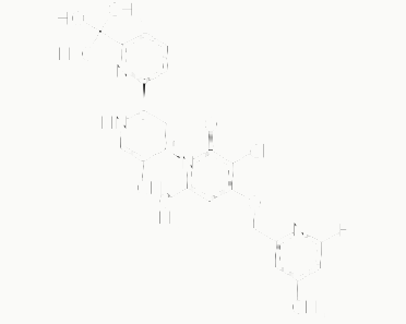 CC1=CN[C@@H](c2cccc(C(C)(C)O)n2)C[C@H]1n1c(C)cc(OCc2cc(C)cc(F)n2)c(Cl)c1=O